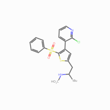 CC(C)(C)C(Cc1cc(-c2cccnc2Cl)c(S(=O)(=O)c2ccccc2)s1)NC(=O)O